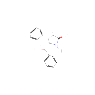 CN1C(=O)C[C@@H](c2ccccc2)[C@H]1C(O)c1ccccc1